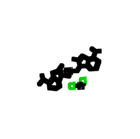 CC1=Cc2c(C(C)C)cccc2C1C[SiH]CC1C(C)=Cc2c(C(C)C)cccc21.[Cl][Zr][Cl]